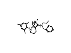 CCCN(Cc1ccccc1)c1c2c(nn1C)N(c1c(C)cc(C)cc1C)CCC2